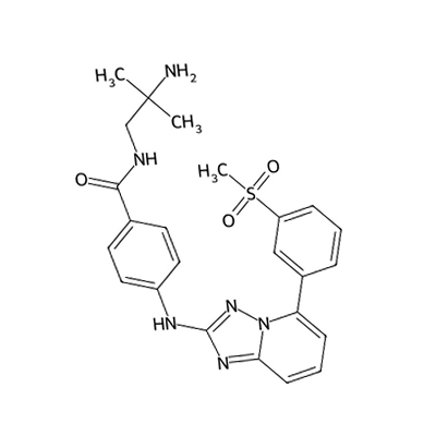 CC(C)(N)CNC(=O)c1ccc(Nc2nc3cccc(-c4cccc(S(C)(=O)=O)c4)n3n2)cc1